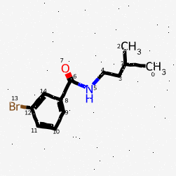 CC(C)CCNC(=O)c1cccc(Br)c1